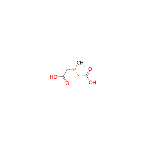 CP(CC(=O)O)CC(=O)O